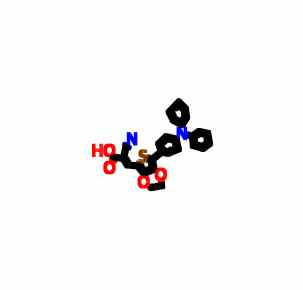 N#C/C(=C\c1sc(-c2ccc(N(c3ccccc3)c3ccccc3)cc2)c2c1OCCO2)C(=O)O